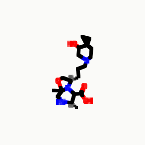 C[C@@H]1NCC2(C)OC[C@H](CCCN3CCC4(CC4)C(O)C3)N2C1C(=O)O